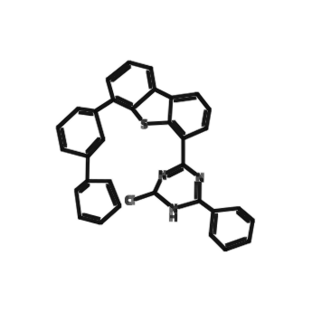 ClC1N=C(c2cccc3c2sc2c(-c4cccc(-c5ccccc5)c4)cccc23)N=C(c2ccccc2)N1